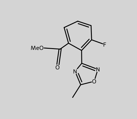 COC(=O)c1cccc(F)c1-c1noc(C)n1